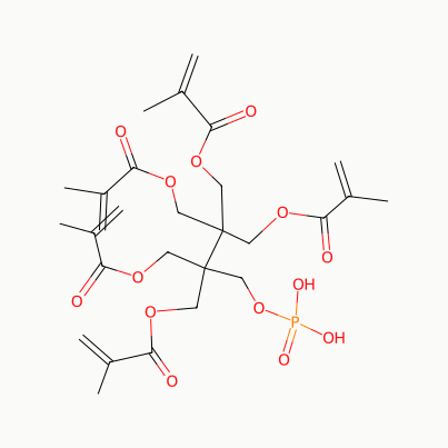 C=C(C)C(=O)OCC(COC(=O)C(=C)C)(COC(=O)C(=C)C)C(COC(=O)C(=C)C)(COC(=O)C(=C)C)COP(=O)(O)O